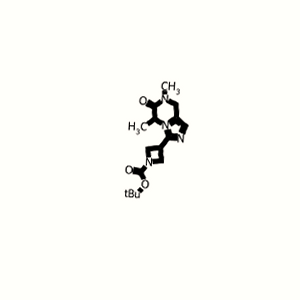 CC1C(=O)N(C)Cc2cnc(C3CN(C(=O)OC(C)(C)C)C3)n21